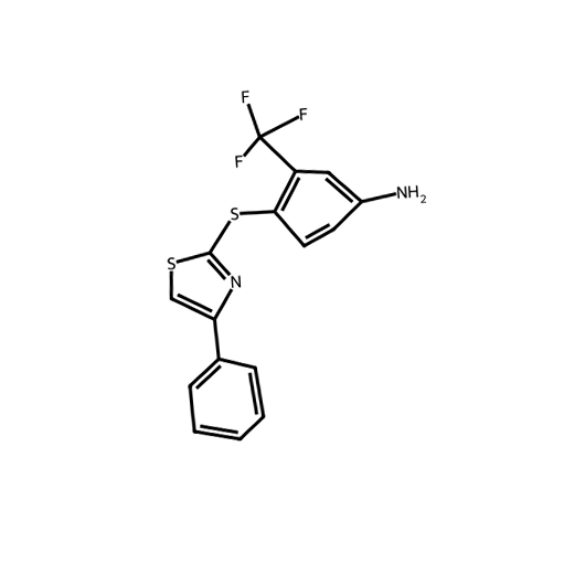 Nc1ccc(Sc2nc(-c3ccccc3)cs2)c(C(F)(F)F)c1